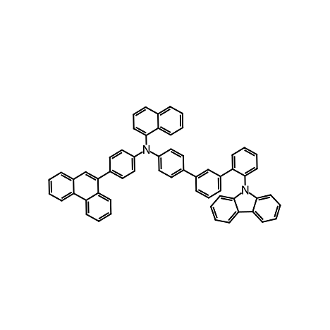 c1cc(-c2ccc(N(c3ccc(-c4cc5ccccc5c5ccccc45)cc3)c3cccc4ccccc34)cc2)cc(-c2ccccc2-n2c3ccccc3c3ccccc32)c1